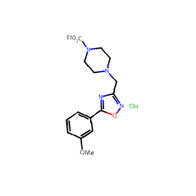 CCOC(=O)N1CCN(Cc2noc(-c3cccc(OC)c3)n2)CC1.Cl